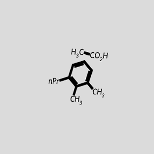 CC(=O)O.CCCc1cccc(C)c1C